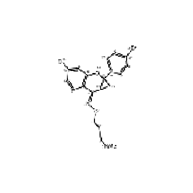 CNCCCON=C1c2ccc(Cl)cc2OC2(c3ccc(Br)cc3)CC12